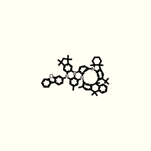 Cc1cc2c3c(c1)N1c4cc5c(cc4C)C(C)(C)c4ccccc4C5(C)c4cc5c(cc4C(C)(C)C)C4(C)CCCCC4(C)N5c4ccc(c1c4)B3c1cc3c(cc1N2c1ccc2c(c1)oc1ccccc12)C(C)(C)CC3(C)C